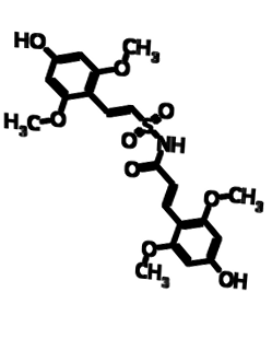 COc1cc(O)cc(OC)c1C=CC(=O)NS(=O)(=O)C=Cc1c(OC)cc(O)cc1OC